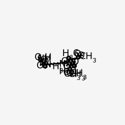 CC[C@H](C(=O)N1CCCC[C@H]1C(=O)O[C@H](CCc1ccc(OC)c(OC)c1)c1ccccc1OCC1OC1NCCCCCCCCNc1cccc2c1C(=O)N(C1CCC(=O)NC1=O)C2=O)c1cc(OC)c(OC)c(OC)c1